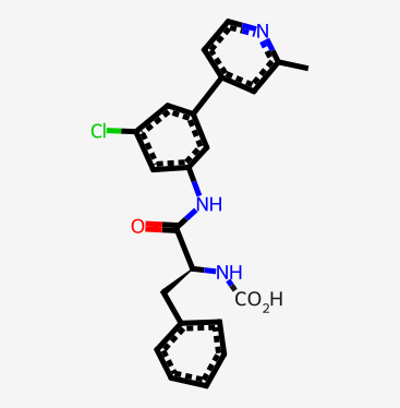 Cc1cc(-c2cc(Cl)cc(NC(=O)[C@H](Cc3ccccc3)NC(=O)O)c2)ccn1